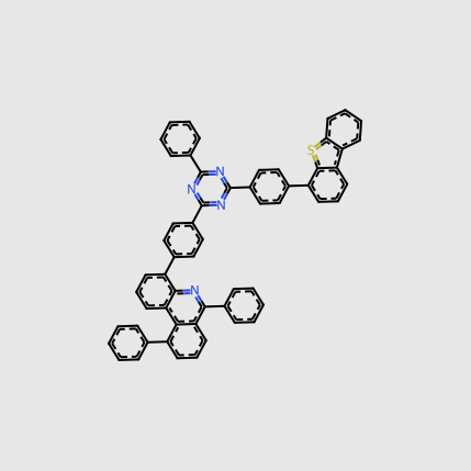 c1ccc(-c2nc(-c3ccc(-c4cccc5c4nc(-c4ccccc4)c4cccc(-c6ccccc6)c45)cc3)nc(-c3ccc(-c4cccc5c4sc4ccccc45)cc3)n2)cc1